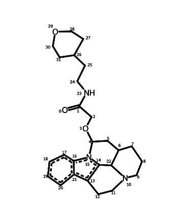 O=C(COC1CC2CCCN3CCc4c(n1c1ccccc41)C23)NCCC1CCOCC1